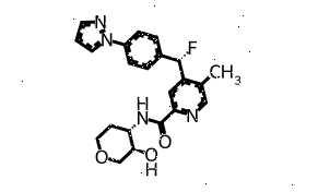 Cc1cnc(C(=O)N[C@H]2CCOC[C@@H]2O)cc1[C@@H](F)c1ccc(-n2cccn2)cc1